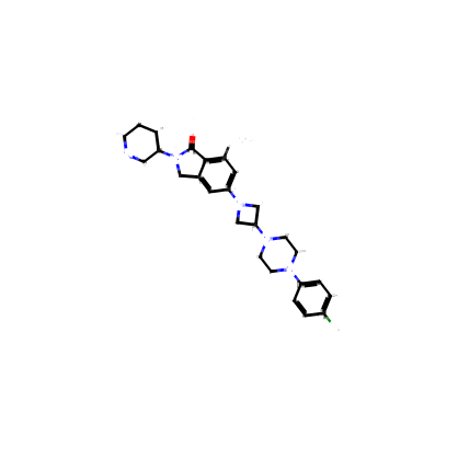 COc1cc(N2CC(N3CCN(c4ccc(Br)cc4)CC3)C2)cc2c1C(=O)N(C1CCCNC1)C2